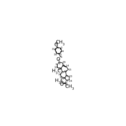 COc1ccc(CO[C@H]2CC[C@@]3(C)C(=CCC4C3CC[C@@]3(C)C4CC[C@@H]3C(C)=O)C2)cc1